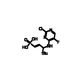 CC(C)(C)C(/C=C/P(=O)(O)O)Nc1nc(Cl)ncc1F